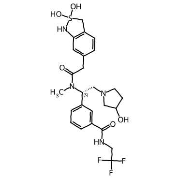 CN(C(=O)Cc1ccc2c(c1)NS(O)(O)C2)[C@H](CN1CCC(O)C1)c1cccc(C(=O)NCC(F)(F)F)c1